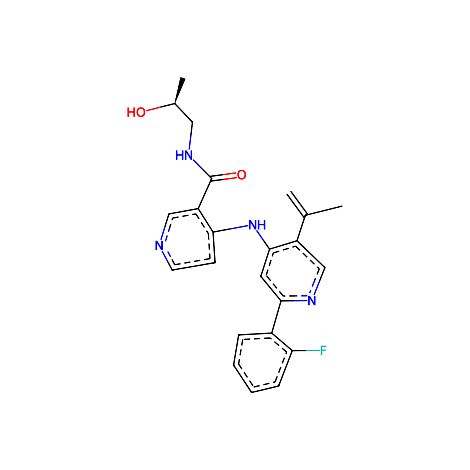 C=C(C)c1cnc(-c2ccccc2F)cc1Nc1ccncc1C(=O)NC[C@H](C)O